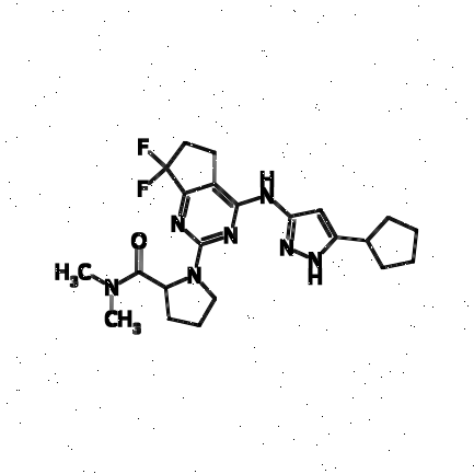 CN(C)C(=O)C1CCCN1c1nc(Nc2cc(C3CCCC3)[nH]n2)c2c(n1)C(F)(F)CC2